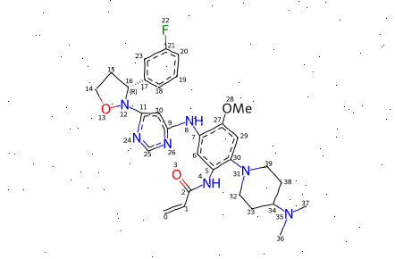 C=CC(=O)Nc1cc(Nc2cc(N3OCC[C@@H]3c3cccc(F)c3)ncn2)c(OC)cc1N1CCC(N(C)C)CC1